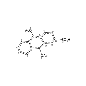 CC(=O)Oc1c2ccccc2c(OC(C)=O)c2cc(S(=O)(=O)O)ccc12